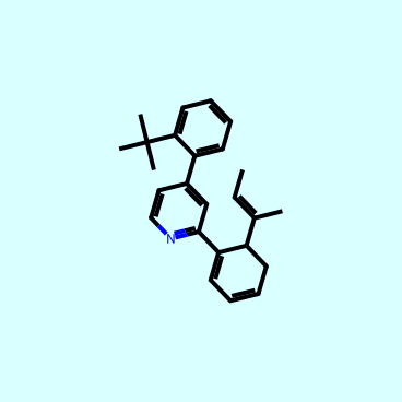 CC=C(C)C1CC=CC=C1c1cc(-c2ccccc2C(C)(C)C)ccn1